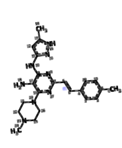 Cc1ccc(/C=C/c2nc(Nc3cc(C)[nH]n3)c(N)c(N3CCN(C)CC3)n2)cc1